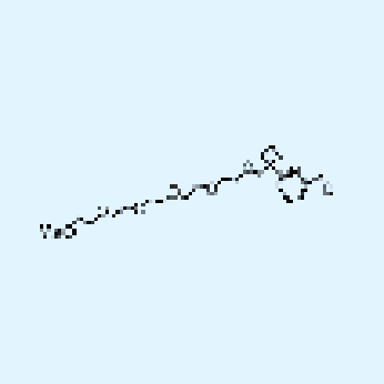 COCCOCCOCCOCCOCCOCC1(c2nccc(CO)n2)CCC1